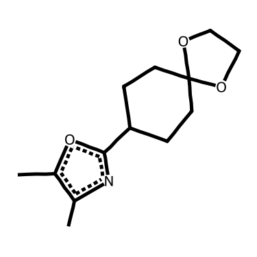 Cc1nc(C2CCC3(CC2)OCCO3)oc1C